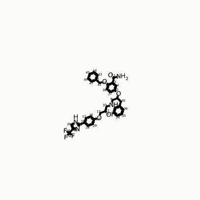 NC(=O)c1cc(OC(CNCC(O)COc2ccc(-c3nc(C(F)(F)F)c[nH]3)cc2)Cc2ccccc2)ccc1OCc1ccccc1